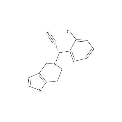 N#C[C@H](c1ccccc1Cl)N1CCc2sccc2C1